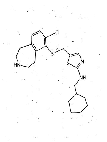 Clc1ccc2c(c1SCc1cnc(NCC3CCCCC3)s1)CCNCC2